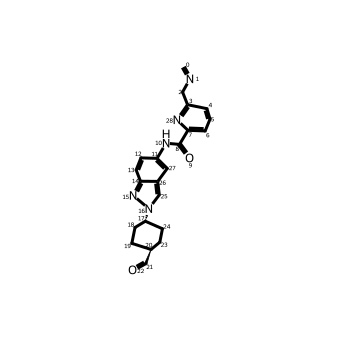 C=NCc1cccc(C(=O)Nc2ccc3nn([C@H]4CC[C@H](C=O)CC4)cc3c2)n1